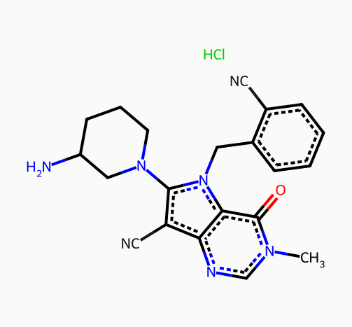 Cl.Cn1cnc2c(C#N)c(N3CCCC(N)C3)n(Cc3ccccc3C#N)c2c1=O